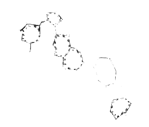 Cc1cccc(-c2n[nH]cc2-c2ccc3ncc(N4CCCN(Cc5ccccc5)CC4)cc3n2)n1